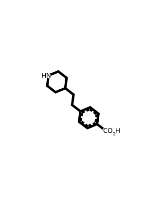 O=C(O)c1ccc(CCC2CCNCC2)cc1